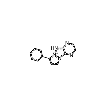 c1ccc(-c2ccn3c4nccnc4[nH][n+]23)cc1